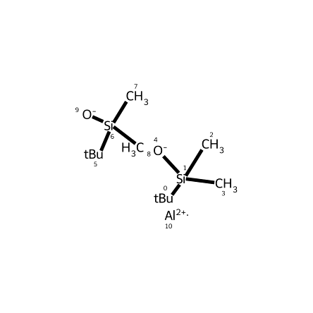 CC(C)(C)[Si](C)(C)[O-].CC(C)(C)[Si](C)(C)[O-].[Al+2]